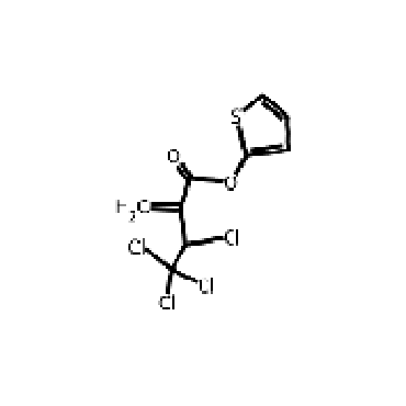 C=C(C(=O)Oc1cccs1)C(Cl)C(Cl)(Cl)Cl